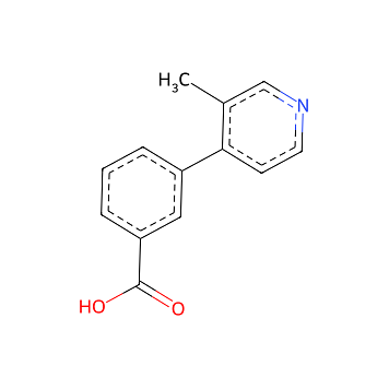 Cc1cnccc1-c1cccc(C(=O)O)c1